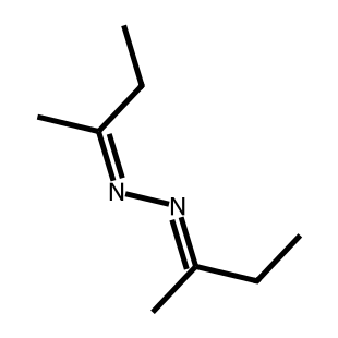 CCC(C)=NN=C(C)CC